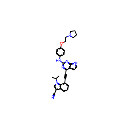 CC(C)n1cc(C#N)c2cccc(C#Cc3nc(Nc4ccc(OCCN5CCCC5)cc4)nc4[nH]ccc34)c21